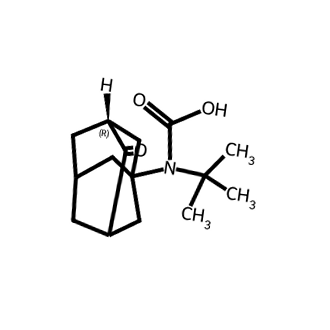 CC(C)(C)N(C(=O)O)C12CC3CC(C1)C(=O)[C@H](C3)C2